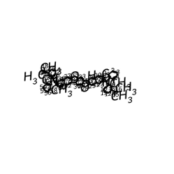 Cc1cccc(C)c1N(c1cccc(C(C)C)c1)c1ccc2cc3c(cc2c1)oc1cc2c(cc13)oc1cc3cc(N(c4cccc(C(C)C)c4)c4c(C)cccc4C)ccc3cc12